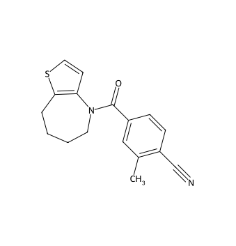 Cc1cc(C(=O)N2CCCCc3sccc32)ccc1C#N